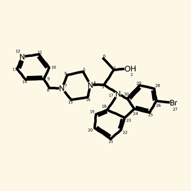 CC(O)C(N1CCN(Cc2ccncc2)CC1)n1c2ccccc2c2cc(Br)ccc21